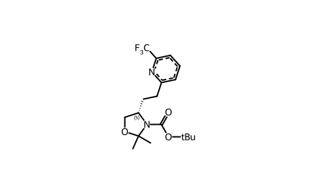 CC(C)(C)OC(=O)N1[C@@H](CCc2cccc(C(F)(F)F)n2)COC1(C)C